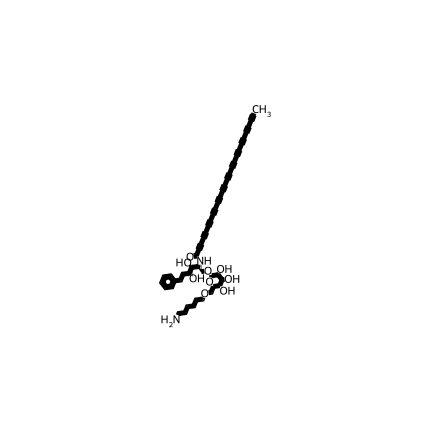 CC#CC#CC#CC#CC#CC#CC#CC#CC#CC#CC#CC#CC(=O)N[C@@H](COC1OC(COCCCCCCN)C(O)C(O)C1O)[C@H](O)[C@H](O)CCc1ccccc1